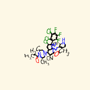 C=CC(=O)N1[C@H](C)CN(c2c(C#N)c(=O)n(C3=C(C)C=CN[C@@H]3C(C)C)c3nc(-c4c(F)c(F)c(F)c(Cl)c4Cl)c(Cl)cc23)C[C@@H]1C